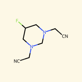 N#CCN1CC(F)CN(CC#N)C1